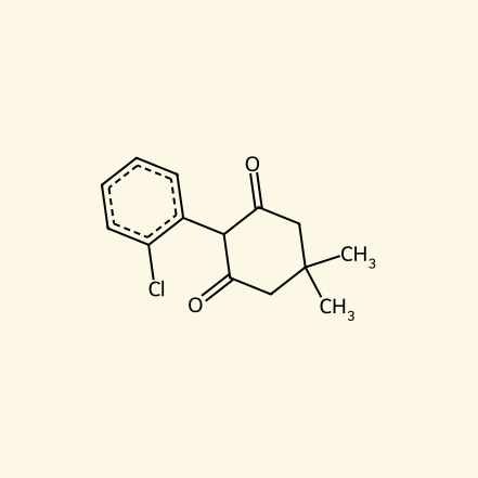 CC1(C)CC(=O)C(c2ccccc2Cl)C(=O)C1